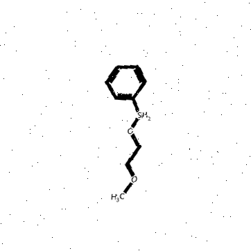 COCCO[SiH2]c1ccccc1